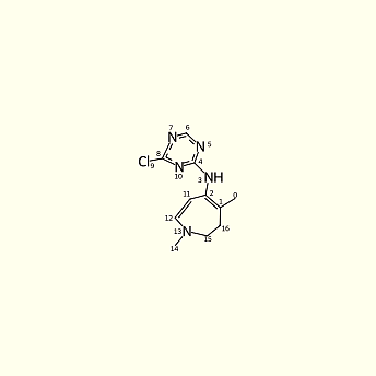 CC1=C(Nc2ncnc(Cl)n2)C=CN(C)CC1